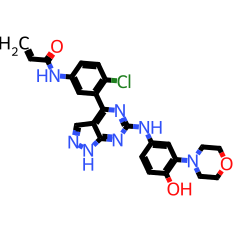 C=CC(=O)Nc1ccc(Cl)c(-c2nc(Nc3ccc(O)c(N4CCOCC4)c3)nc3[nH]ncc23)c1